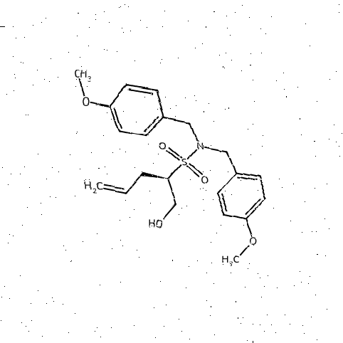 C=CC[C@H](CO)S(=O)(=O)N(Cc1ccc(OC)cc1)Cc1ccc(OC)cc1